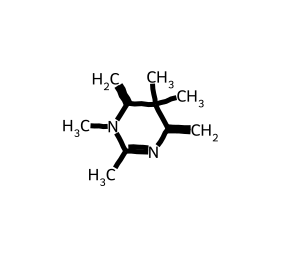 C=C1N=C(C)N(C)C(=C)C1(C)C